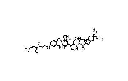 C=CC(=O)NCCOc1cccc(Nc2cc(-c3ccnc(N4CCn5c(cc6c5CC(C)(C)C6)C4=O)c3CO)cn(C)c2=O)c1